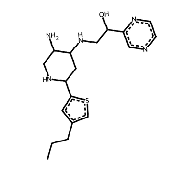 CCCc1csc(C2CC(NCC(O)c3cnccn3)C(N)CN2)c1